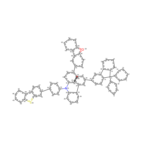 c1ccc(C2(c3ccccc3)c3ccccc3-c3cc(-c4cccc(-c5ccccc5N(c5ccc(-c6ccc7c(c6)sc6ccccc67)cc5)c5ccc(-c6ccc7oc8ccccc8c7c6)cc5)c4)ccc32)cc1